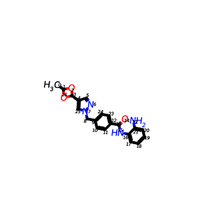 CC1OC(c2cnn(Cc3ccc(C(=O)Nc4ccccc4N)cc3)c2)O1